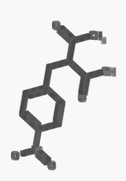 CC(=O)C(Cc1ccc([N+](=O)[O-])cc1)C(=O)O